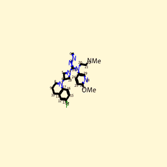 C=N/N=C(/N1CC(N2CCCc3cc(F)ccc32)C1)N(CCNC)c1ccc(OC)nc1